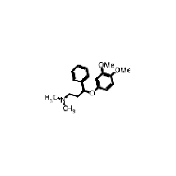 COc1ccc(OC(CCN(C)C)c2ccccc2)cc1OC